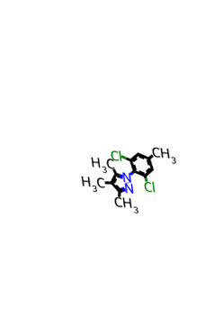 Cc1cc(Cl)c(-n2nc(C)c(C)c2C)c(Cl)c1